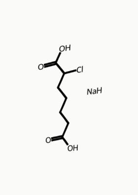 O=C(O)CCCCC(Cl)C(=O)O.[NaH]